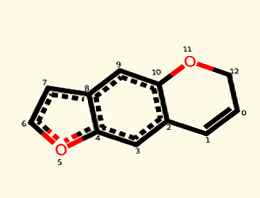 C1=Cc2cc3occc3cc2OC1